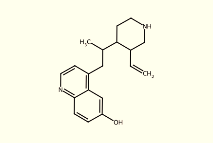 C=CC1CNCCC1C(C)Cc1ccnc2ccc(O)cc12